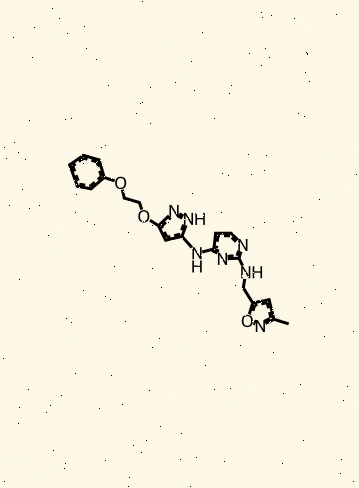 Cc1cc(CNc2nccc(Nc3cc(OCCOc4ccccc4)n[nH]3)n2)on1